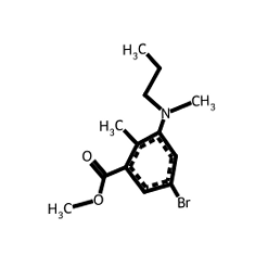 CCCN(C)c1cc(Br)cc(C(=O)OC)c1C